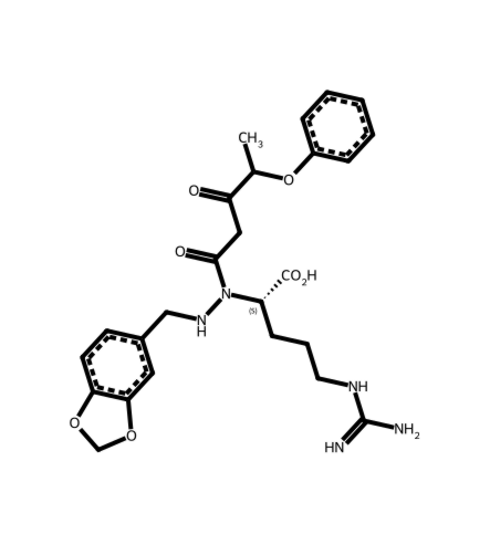 CC(Oc1ccccc1)C(=O)CC(=O)N(NCc1ccc2c(c1)OCO2)[C@@H](CCCNC(=N)N)C(=O)O